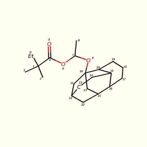 CCC(C)(C)C(=O)OC(C)OC12CC3CCC4C(CCCC41)C(C3)C2